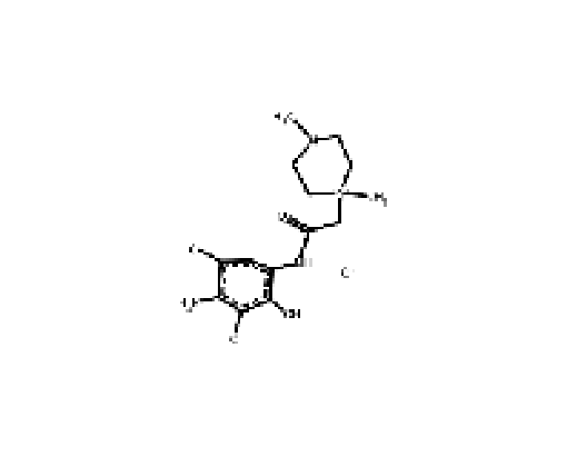 CN1CC[N+](C)(CC(=O)Nc2cc(Cl)c(N)c(Cl)c2O)CC1.[Cl-]